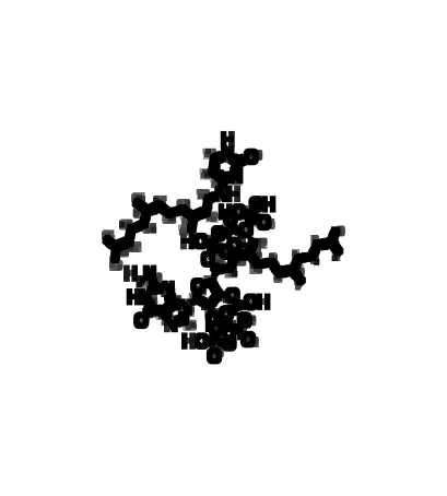 CC(C)=CCCC(C)=CCCC(C)=CCC(OP(=O)(O)OP(=O)(O)OP(=O)(O)O)[C@H]1O[C@@H](n2cnc3c(=O)[nH]c(N)nc32)[C@H](O)[C@@H]1OP(=O)(O)OP(=O)(O)OP(=O)(O)O.CC(C)=CCCC(C)=CCCC(C)=CCNc1cc[nH]c(=O)n1